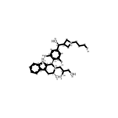 C[C@@H]1Cc2c([nH]c3ccccc23)[C@@H](c2c(F)cc([C@@H](O)C3CN(CCCF)C3)cc2F)N1CC(F)CO